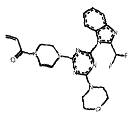 C=CC(=O)N1CCN(c2nc(N3CCOCC3)nc(-n3c(C(F)F)nc4ccccc43)n2)CC1